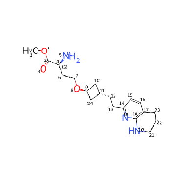 COC(=O)[C@@H](N)CCO[C@H]1C[C@H](CCc2ccc3c(n2)NCCC3)C1